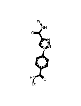 CCNC(=O)c1ccc(-n2cc(C(=O)NCC)nn2)cc1